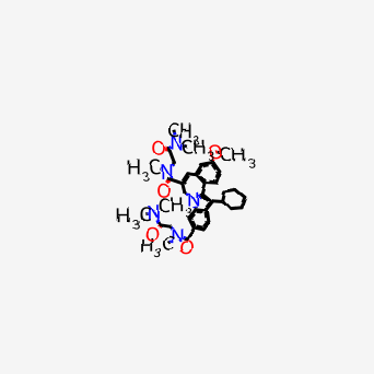 COc1ccc2c(c1)C=C(C(=O)N(C)CC(=O)N(C)C)Cn1c-2c(C2CCCCC2)c2ccc(C(=O)N(C)CC(=O)N(C)C)cc21